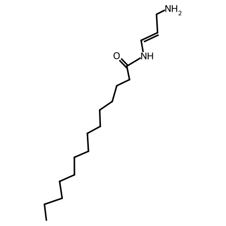 CCCCCCCCCCCCCC(=O)NC=CCN